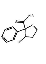 CC1CCSC1(C(N)=S)c1ccncc1